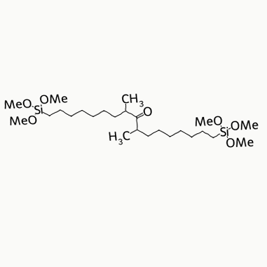 CO[Si](CCCCCCCC(C)C(=O)C(C)CCCCCCC[Si](OC)(OC)OC)(OC)OC